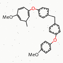 COC1=CC(C)C=C(Oc2ccc(Cc3ccc(Oc4ccc(OC)cc4)cc3)cc2)C=C1